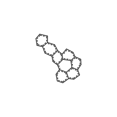 c1ccc2cc3c(cc2c1)cc1c2cccc4ccc5ccc6ccc3c1c6c5c42